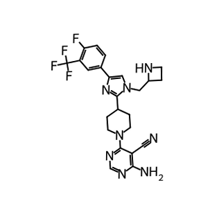 N#Cc1c(N)ncnc1N1CCC(c2nc(-c3ccc(F)c(C(F)(F)F)c3)cn2CC2CCN2)CC1